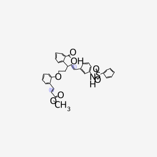 COC(=O)/C=C/c1ccccc1OCCC(/C=C/c1cccc(NS(=O)(=O)c2ccccc2)c1)c1ccccc1C(=O)O